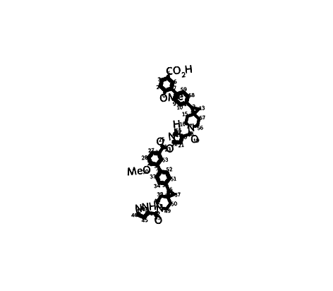 COc1ccc(C(=O)O)cc1-c1ccc(C2CC23CCN(C(=O)c2cc(OC(=O)c4ccc(OC)c(-c5ccc(C6CC67CCN(C(=O)c6ccn[nH]6)CC7)cc5)c4)n[nH]2)CC3)cc1